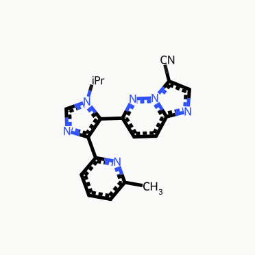 Cc1cccc(-c2ncn(C(C)C)c2-c2ccc3ncc(C#N)n3n2)n1